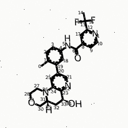 Cc1ccc(NC(=O)c2ccnc(C(C)(F)F)c2)cc1-c1cnc2c(c1)N1CCOC[C@H]1C[C@@H]2O